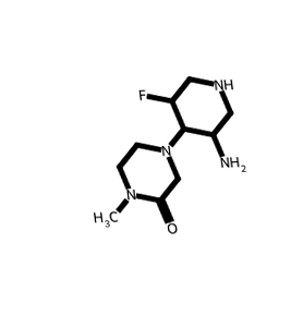 CN1CCN(C2C(N)CNCC2F)CC1=O